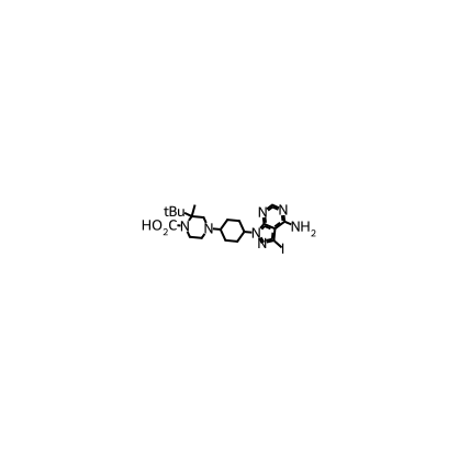 CC(C)(C)C1(C)CN(C2CCC(n3nc(I)c4c(N)ncnc43)CC2)CCN1C(=O)O